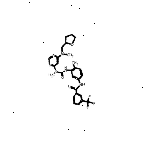 Cc1ccc(NC(=O)c2cccc(C(F)(F)F)c2)cc1NC(=O)N(C)c1cc(N(C)CC2CCCO2)ncn1